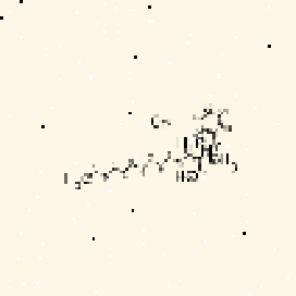 CCCCCCCCCCCCC(CO)[N+](C)(C)Cc1ccccc1.[Cl-]